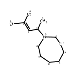 CCC(=CC(C)N1CCCCCCC1)CC